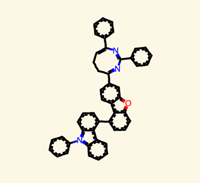 C1=C(c2ccccc2)/N=C(c2ccccc2)\N=C(\c2ccc3c(c2)oc2cccc(-c4cccc5c4c4ccccc4n5-c4ccccc4)c23)CC\1